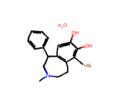 Br.Cc1c(O)c(O)cc2c1CCN(C)CC2c1ccccc1.O